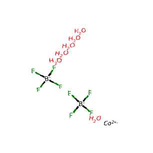 F[B-](F)(F)F.F[B-](F)(F)F.O.O.O.O.O.O.[Co+2]